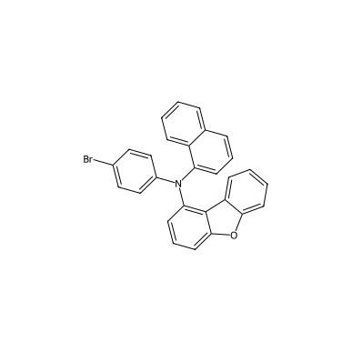 Brc1ccc(N(c2cccc3ccccc23)c2cccc3oc4ccccc4c23)cc1